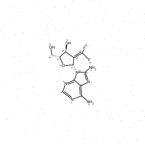 Nc1ncnc2c1nc(N)n2[C@@H]1O[C@H](CO)[C@@H](O)C1=C(F)F